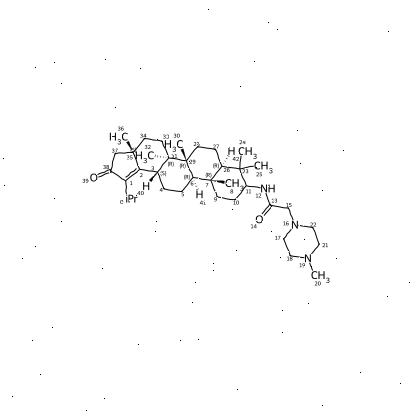 CC(C)C1=C2[C@H]3CC[C@@H]4[C@@]5(C)CCC(NC(=O)CN6CCN(C)CC6)C(C)(C)[C@@H]5CC[C@@]4(C)[C@]3(C)CC[C@@]2(C)CC1=O